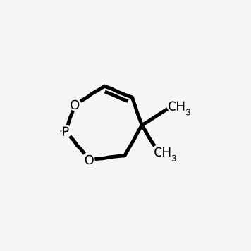 CC1(C)C=CO[P]OC1